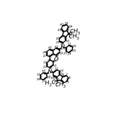 CC1(C)c2ccccc2-c2ccc(N(C3=CC4Oc5cc(N(c6ccccc6)c6ccc7c(c6)C(C)(C)c6ccccc6-7)cc6cccc(c56)C4C=C3)c3ccccc3)cc21